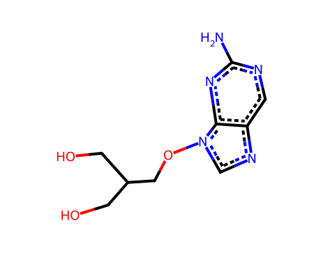 Nc1ncc2ncn(OCC(CO)CO)c2n1